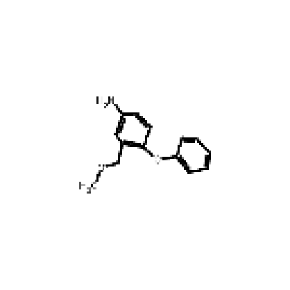 COCc1cc(N)ccc1Oc1ccccc1